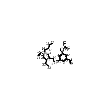 C=Cc1cc(F)cc(OC(F)F)c1.C=[CH][Sn]([CH2]CCC)([CH2]CCC)[CH2]CCC